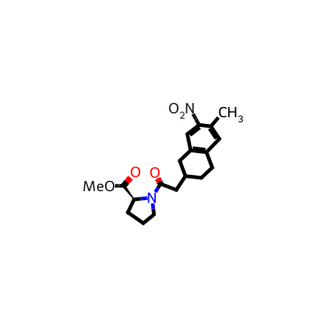 COC(=O)[C@@H]1CCCN1C(=O)CC1CCc2cc(C)c([N+](=O)[O-])cc2C1